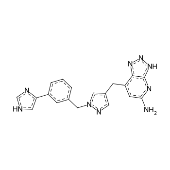 Nc1cc(Cc2cnn(Cc3cccc(-c4c[nH]cn4)c3)c2)c2nn[nH]c2n1